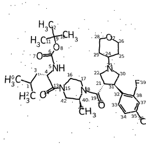 CC(C)C[C@H](NC(=O)OC(C)(C)C)C(=O)N1CCN(C(=O)[C@@H]2CN(C3CCOCC3)C[C@H]2c2ccc(Cl)cc2F)[C@@H](C)C1